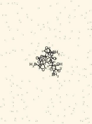 BC1O[C@]2(CO)COC1C2OP(=O)(O)OC[C@]12COC(C(B)O1)C2OP(=O)(O)OC[C@@]1(C)OC(B)C(OC)C1O